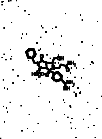 N=C(N)c1ccc(C2(OC(=O)O)C3C(=O)N(Cc4ccccc4)C(=O)C3C(CO)N2CCC(N)=O)cc1